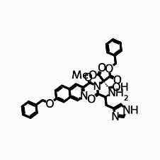 COC(=O)[C@@](CO)(C(=O)OCc1ccccc1)N(C(=O)c1cc2ccc(OCc3ccccc3)cc2cn1)C(=O)[C@@H](N)Cc1c[nH]cn1